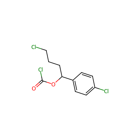 O=C(Cl)OC(CCCCl)c1ccc(Cl)cc1